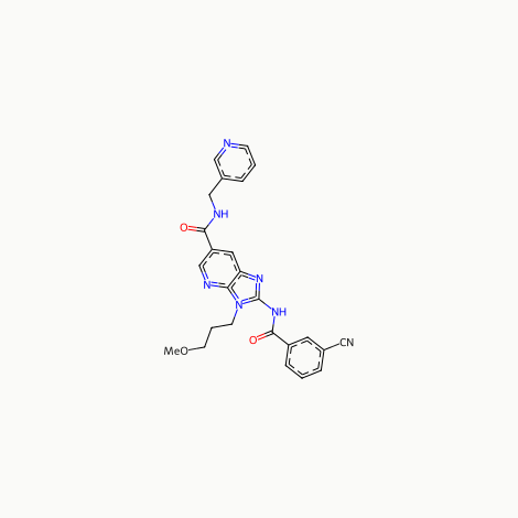 COCCCn1c(NC(=O)c2cccc(C#N)c2)nc2cc(C(=O)NCc3cccnc3)cnc21